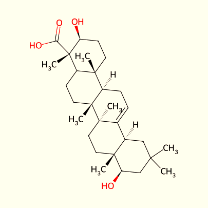 CC1(C)C[C@@H](O)[C@]2(C)CC[C@]3(C)C(=CC[C@@H]4[C@@]5(C)CC[C@H](O)[C@@](C)(C(=O)O)C5CC[C@]43C)[C@H]2C1